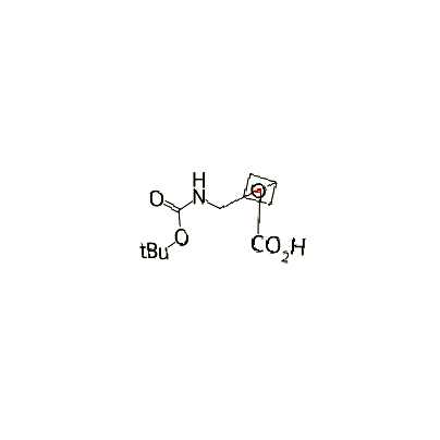 CC(C)(C)OC(=O)NCC12CC(C1)OC2C(=O)O